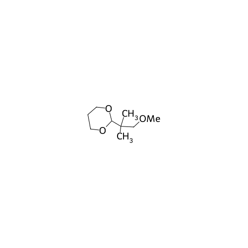 COCC(C)(C)C1OCCCO1